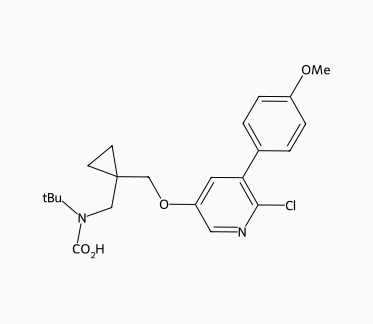 COc1ccc(-c2cc(OCC3(CN(C(=O)O)C(C)(C)C)CC3)cnc2Cl)cc1